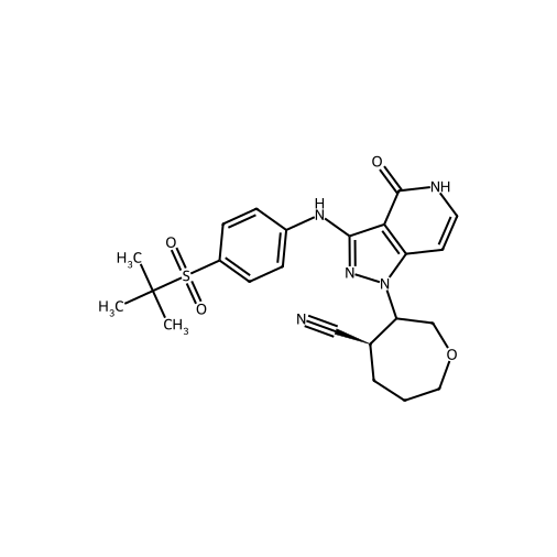 CC(C)(C)S(=O)(=O)c1ccc(Nc2nn(C3COCCC[C@H]3C#N)c3cc[nH]c(=O)c23)cc1